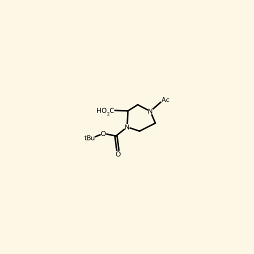 CC(=O)N1CCN(C(=O)OC(C)(C)C)C(C(=O)O)C1